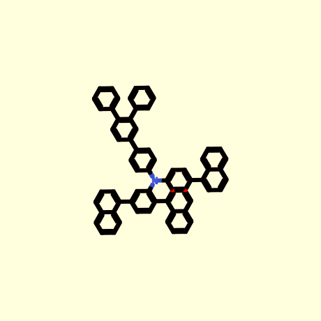 c1ccc(-c2ccc(-c3ccc(N(c4ccc(-c5cccc6ccccc56)cc4)c4cc(-c5cccc6ccccc56)ccc4-c4cccc5ccccc45)cc3)cc2-c2ccccc2)cc1